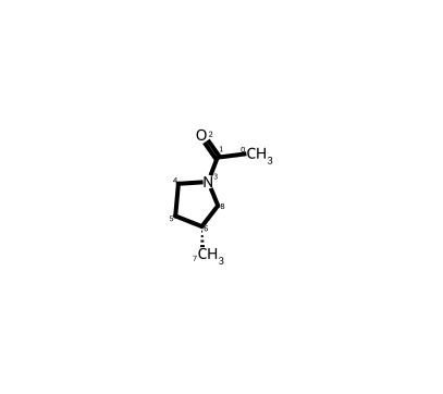 CC(=O)N1CC[C@@H](C)C1